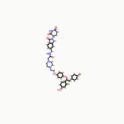 O=C(CN1CCN(CCOc2ccc(Oc3c(-c4ccc(Br)cc4)sc4cc(O)ccc34)cc2)CC1)NCc1ccc2c(c1)CN(C1CCC(=O)NC1=O)C2=O